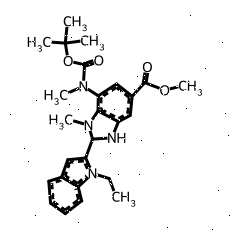 CCn1c(C2Nc3cc(C(=O)OC)cc(N(C)C(=O)OC(C)(C)C)c3N2C)cc2ccccc21